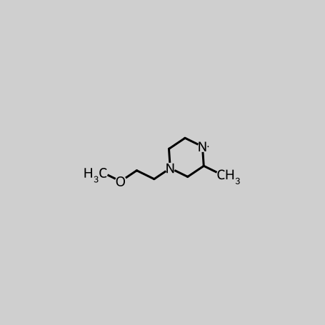 COCCN1CC[N]C(C)C1